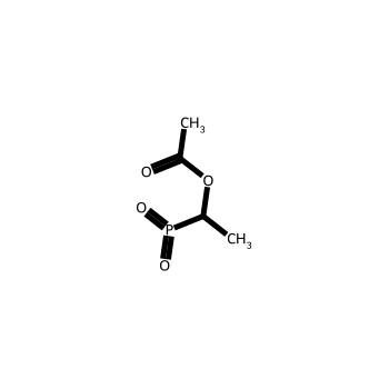 CC(=O)OC(C)P(=O)=O